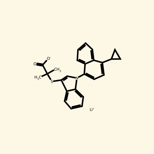 CC(C)(Sc1cn(-c2ccc(C3CC3)c3ccccc23)c2ccccc12)C(=O)[O-].[Li+]